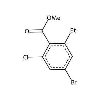 CCc1cc(Br)cc(Cl)c1C(=O)OC